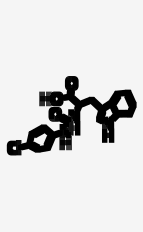 O=C(Nc1ccc(Cl)cc1)NC(Cc1c[nH]c2ccccc12)C(=O)O